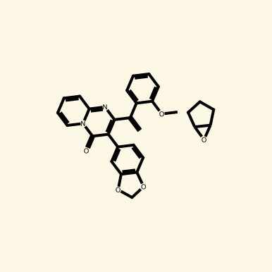 C1CC2OC2C1.C=C(c1ccccc1OC)c1nc2ccccn2c(=O)c1-c1ccc2c(c1)OCO2